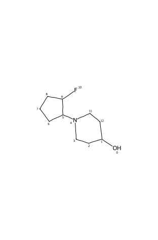 OC1CCN(C2CCCC2F)CC1